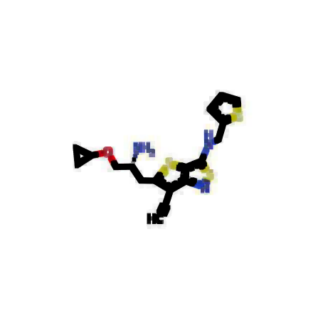 C#Cc1c(C[C@@H](N)COC2CC2)sc2c(NCc3cccs3)snc12